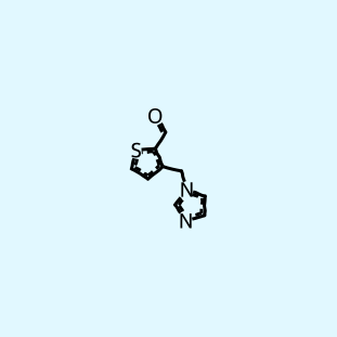 O=Cc1sccc1Cn1ccnc1